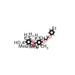 CCc1ccc(OCCCOc2c(C)c(C)c(C(=O)Oc3c(C)c(C)c(C(=O)O)c(OC)c3C)c(OC)c2C)cc1